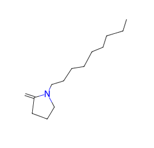 C=C1CCCN1CCCCCCCCC